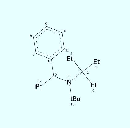 CCC(CC)(CC)N(C(c1ccccc1)C(C)C)C(C)(C)C